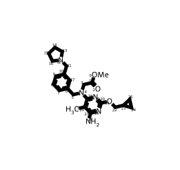 COC(=O)CN(Cc1cccc(CN2CCCC2)c1)c1nc(OCC2CC2)nc(N)c1C